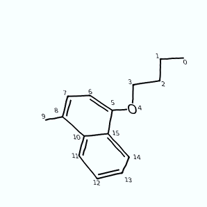 CCCCOc1ccc(C)c2ccccc12